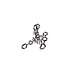 c1ccc(-c2ccc(-c3nc(-c4ccc(-c5ccccc5)cc4)nc(-n4c5ccccc5c5ccc6c7ccccc7n(-c7cccc(-c8nc9ccccc9s8)c7)c6c54)n3)cc2)cc1